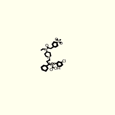 CCN(C(=O)Cc1ccc(S(C)(=O)=O)cc1)C1CCN(CCC(c2ccccc2)N(Nc2cccc(Cl)c2)C(=O)O)CC1